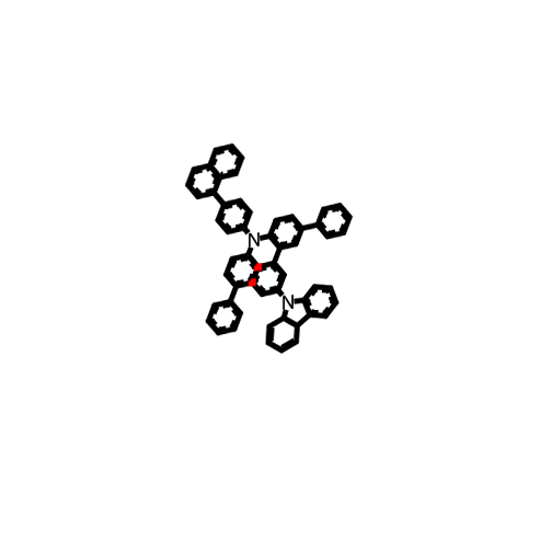 C1=CC2c3ccccc3N(c3cccc(-c4cc(-c5ccccc5)ccc4N(c4ccc(-c5ccccc5)cc4)c4ccc(-c5cccc6ccccc56)cc4)c3)C2C=C1